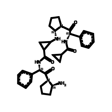 N[C@H]1CCCN1C(=O)[C@@H](NC(=O)C1CC1N[C@@H]1CCCN1C(=O)[C@@H](NC(=O)C1CC1)c1ccccc1)c1ccccc1